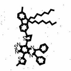 CCCCCCCCC1(CCCCCCCC)c2cc(C)ccc2-c2ccc(-c3ccc(-c4c5nsnc5c(-c5ccc(C)s5)c5nc(-c6ccccc6)c(-c6ccccc6)nc45)s3)cc21